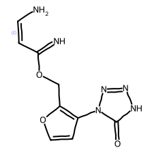 N=C(/C=C\N)OCc1occc1-n1nn[nH]c1=O